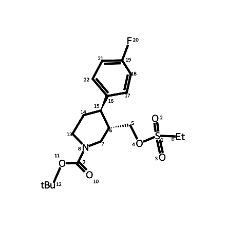 CCS(=O)(=O)OC[C@@H]1CN(C(=O)OC(C)(C)C)CC[C@H]1c1ccc(F)cc1